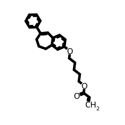 C=CC(=O)OCCCCCOc1ccc2c(c1)CCCC(c1ccccc1)=C2